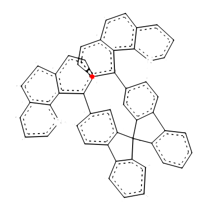 c1ccc2c(c1)-c1ccc(-c3cccc4ccc5cccnc5c34)cc1C21c2ccccc2-c2ccc(-c3cccc4ccc5cccnc5c34)cc21